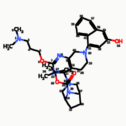 CN(C)CCCOc1nc2c(c(N3CC4CCC(C3)N4C(=O)OC(C)(C)C)n1)CCN(c1cc(O)cc3ccccc13)C2